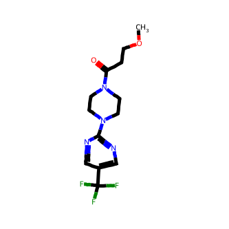 COCCC(=O)N1CCN(c2ncc(C(F)(F)F)cn2)CC1